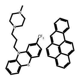 CN1CCN(CCCN2c3ccccc3Sc3ccc(C(F)(F)F)cc32)CC1.c1ccc2c(c1)cc1ccc3cccc4ccc2c1c34